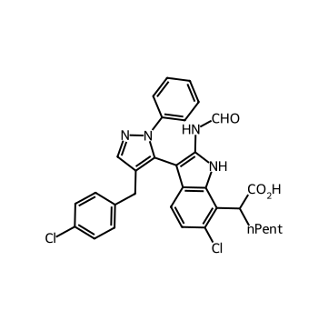 CCCCCC(C(=O)O)c1c(Cl)ccc2c(-c3c(Cc4ccc(Cl)cc4)cnn3-c3ccccc3)c(NC=O)[nH]c12